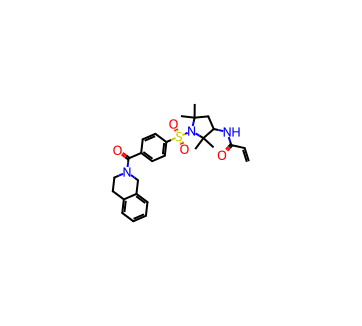 C=CC(=O)NC1CC(C)(C)N(S(=O)(=O)c2ccc(C(=O)N3CCc4ccccc4C3)cc2)C1(C)C